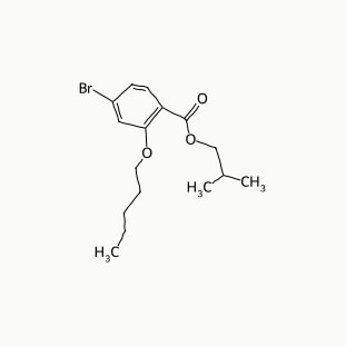 CCCCCOc1cc(Br)ccc1C(=O)OCC(C)C